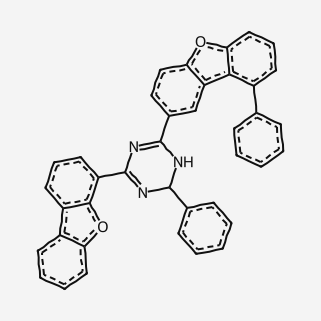 c1ccc(-c2cccc3oc4ccc(C5=NC(c6cccc7c6oc6ccccc67)=NC(c6ccccc6)N5)cc4c23)cc1